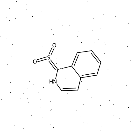 O=S(=O)=c1[nH]ccc2ccccc12